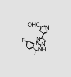 C[C@@H](Nc1ncc(-c2cncc(C=O)c2)nn1)c1ccc(F)cc1